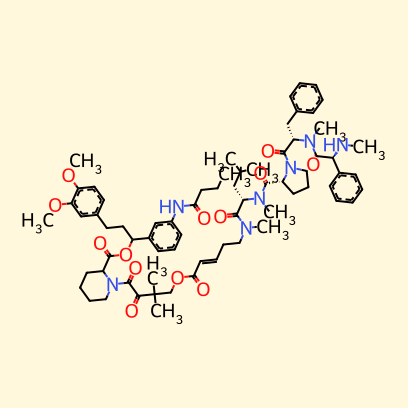 CCCC(=O)Nc1cccc(C(CCc2ccc(OC)c(OC)c2)OC(=O)C2CCCCN2C(=O)C(=O)C(C)(C)COC(=O)/C=C/CCN(C)C(=O)[C@H](CC(C)C)N(C)C(=O)[C@H]2CCCN2C(=O)[C@H](Cc2ccccc2)N(C)C(=O)[C@@H](NC)c2ccccc2)c1